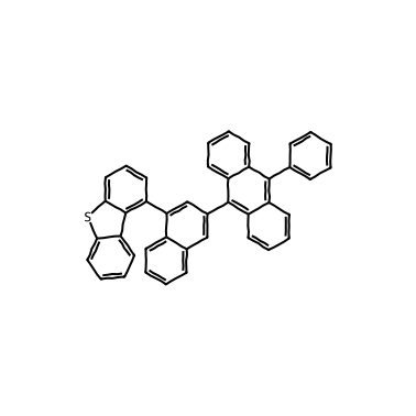 c1ccc(-c2c3ccccc3c(-c3cc(-c4cccc5sc6ccccc6c45)c4ccccc4c3)c3ccccc23)cc1